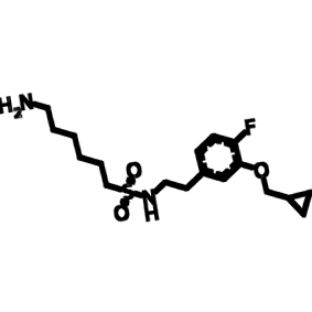 NCCCCCCS(=O)(=O)NCCc1ccc(F)c(OCC2CC2)c1